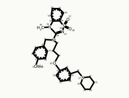 COc1ccc(CN(CCCOc2cccc(CN3CCCCC3)c2)C2=NS(=O)(=O)c3ccccc3N2C)cc1